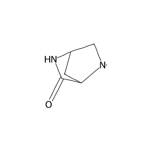 O=C1NC2C[N]C1C2